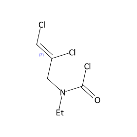 CCN(C/C(Cl)=C/Cl)C(=O)Cl